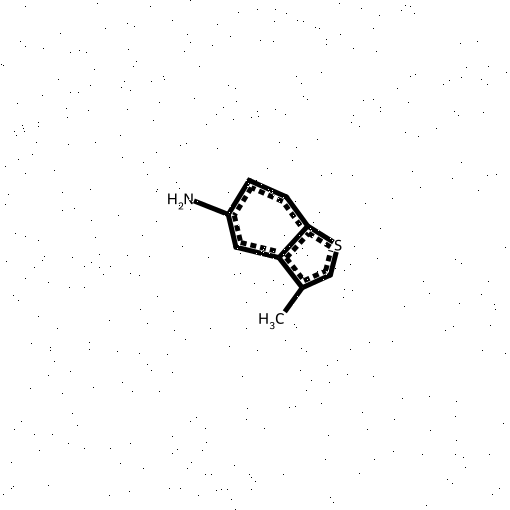 Cc1csc2ccc(N)cc12